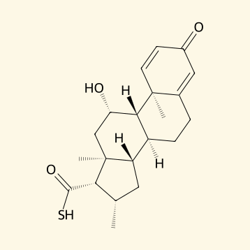 C[C@H]1C[C@H]2[C@@H]3CCC4=CC(=O)C=C[C@]4(C)[C@H]3[C@@H](O)C[C@]2(C)[C@H]1C(=O)S